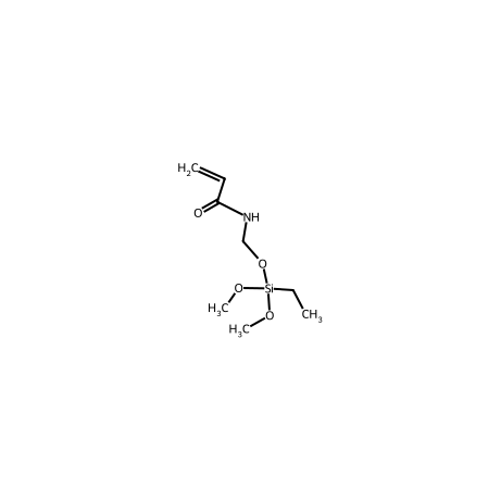 C=CC(=O)NCO[Si](CC)(OC)OC